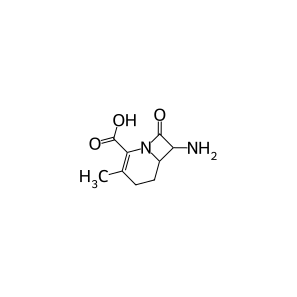 CC1=C(C(=O)O)N2C(=O)C(N)C2CC1